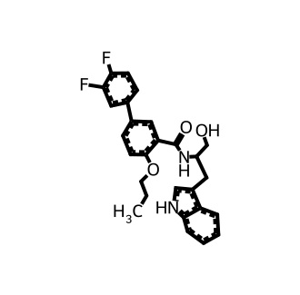 CCCOc1ccc(-c2ccc(F)c(F)c2)cc1C(=O)NC(CO)Cc1c[nH]c2ccccc12